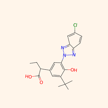 CCC(C(=O)O)c1cc(-n2nc3ccc(Cl)cc3n2)c(O)c(C(C)(C)C)c1